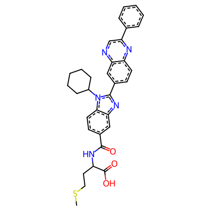 CSCCC(NC(=O)c1ccc2c(c1)nc(-c1ccc3nc(-c4ccccc4)cnc3c1)n2C1CCCCC1)C(=O)O